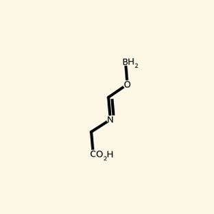 BOC=NCC(=O)O